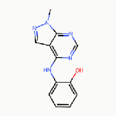 Cn1ncc2c(Nc3ccccc3O)ncnc21